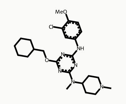 COc1ccc(Nc2nc(OCC3CCCCC3)nc(N(C)C3CCN(C)CC3)n2)cc1Cl